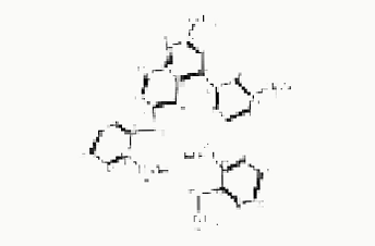 COc1cccc(-c2cc(N)nc3ccc(Cc4ccccc4OC)cc23)c1.COc1ccccc1CN